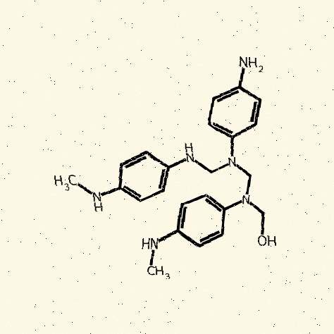 CNc1ccc(NCN(CN(CO)c2ccc(NC)cc2)c2ccc(N)cc2)cc1